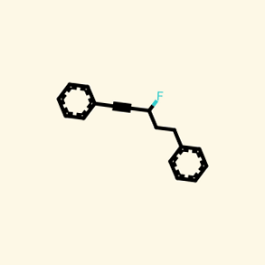 FC(C#Cc1ccccc1)CCc1ccccc1